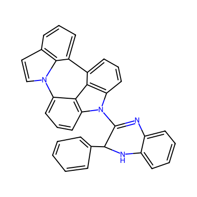 c1ccc(C2Nc3ccccc3N=C2n2c3cccc4c5cccc6ccn(c7cccc2c7c43)c65)cc1